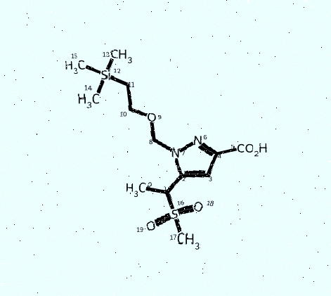 CC(c1cc(C(=O)O)nn1COCC[Si](C)(C)C)S(C)(=O)=O